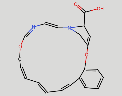 O=C(O)C1C=C2CN1/C=C/N=C\OC/C=C/C=C/C=C\c1ccccc1O2